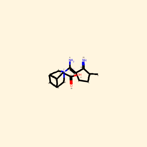 CC1CC/C(=C(/N)N2CC3CC(C2)C3CC(=O)O)C1=N